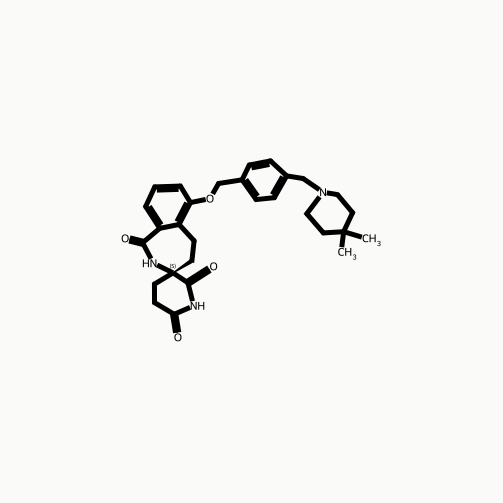 CC1(C)CCN(Cc2ccc(COc3cccc4c3CC[C@@]3(CCC(=O)NC3=O)NC4=O)cc2)CC1